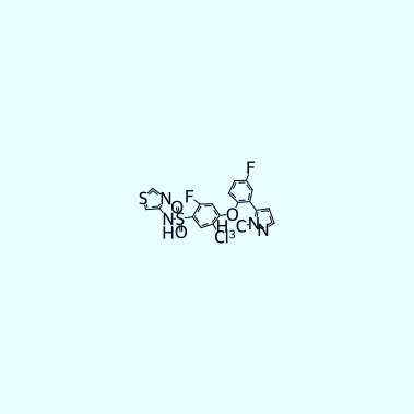 Cn1nccc1-c1cc(F)ccc1Oc1cc(F)c(S(=O)(=O)Nc2cscn2)cc1Cl